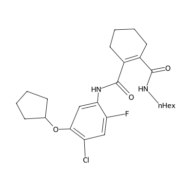 CCCCCCNC(=O)C1=C(C(=O)Nc2cc(OC3CCCC3)c(Cl)cc2F)CCCC1